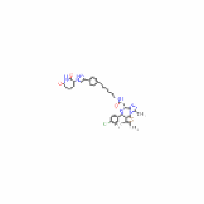 Cc1sc2c(c1C)C(c1ccc(Cl)cc1)=N[C@@H](CC(=O)NCCCCCCc1ccc(-c3cn(C4CCCC(=O)NC4=O)nn3)cc1)c1nnc(C)n1-2